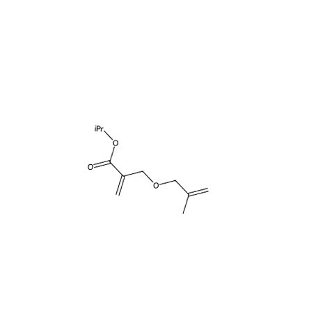 C=C(C)COCC(=C)C(=O)OC(C)C